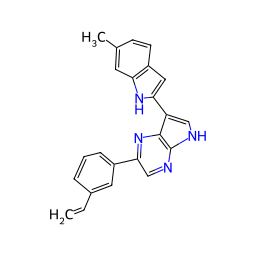 C=Cc1cccc(-c2cnc3[nH]cc(-c4cc5ccc(C)cc5[nH]4)c3n2)c1